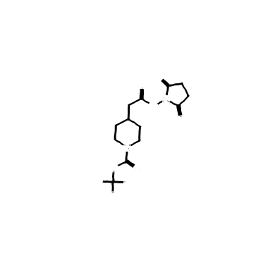 CC(C)(C)OC(=O)N1CCC(CC(=O)ON2C(=O)CCC2=O)CC1